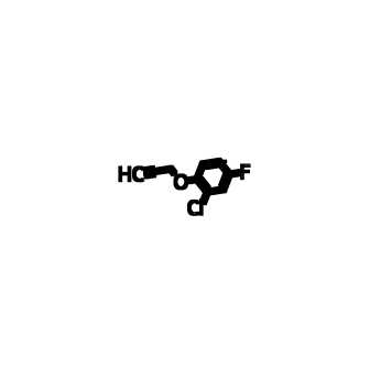 C#CCOc1c[c]c(F)cc1Cl